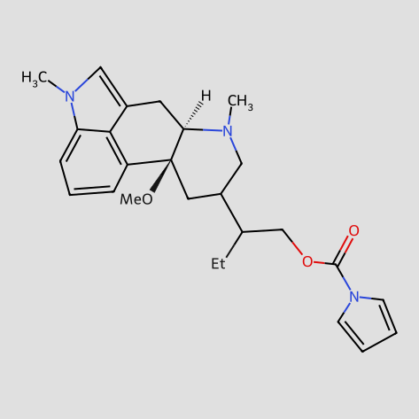 CCC(COC(=O)n1cccc1)C1CN(C)[C@@H]2Cc3cn(C)c4cccc(c34)[C@@]2(OC)C1